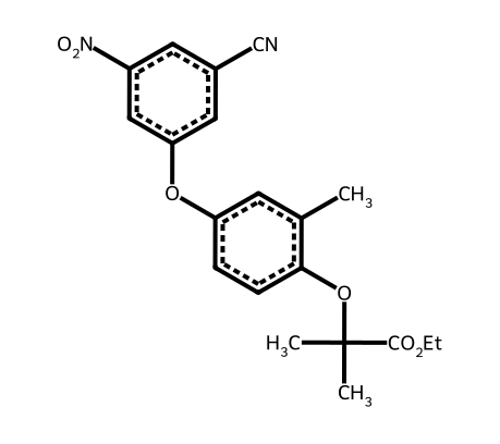 CCOC(=O)C(C)(C)Oc1ccc(Oc2cc(C#N)cc([N+](=O)[O-])c2)cc1C